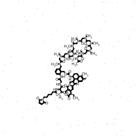 CC[C@H]1C(=O)OCc2c1cc1n(c2=O)Cc2c-1nc1cc(F)c(C)c3c1c2[C@@H](NC(=O)OCc1c(CN(C)C(=O)CN(C)C(=O)CN(C)C(=O)CN(C)C(=O)CN(C)C(=O)CN(C)C(=O)CN(C)C(=O)CN(C)C(=O)CN(C)C(=O)CN(C)C(=O)CN(C)C(C)=O)cccc1NC(=O)CNC(=O)C(NC(=O)CCCCCN1C(=O)C=CC1=O)C(C)C)CC3